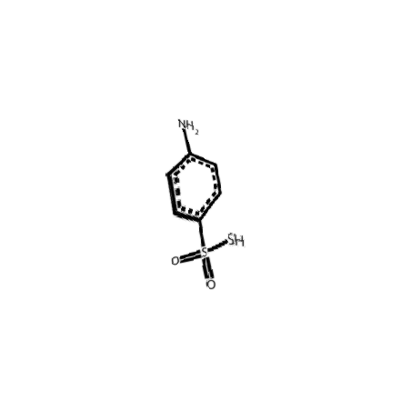 Nc1ccc(S(=O)(=O)S)cc1